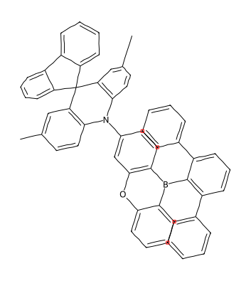 Cc1ccc2c(c1)C1(c3ccccc3-c3ccccc31)c1cc(C)ccc1N2c1ccc2c(c1)Oc1ccccc1B2c1c(-c2ccccc2)cccc1-c1ccccc1